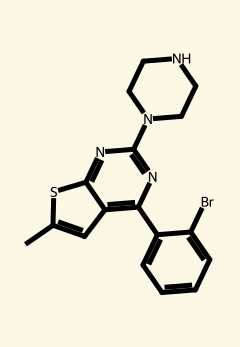 Cc1cc2c(-c3ccccc3Br)nc(N3CCNCC3)nc2s1